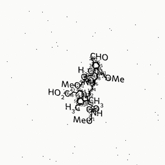 COCCNS(=O)(=O)CCC1(C)C(/C=C/C=C/C=C/C=C2/N(CCOC)c3ccc(CC=O)cc3C2(C)CCS(=O)(=O)NCCOC)=[N+](CCCCCC(=O)O)c2ccc(C)cc21